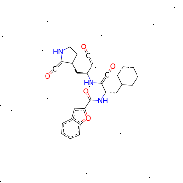 O=C=C[C@H](C[C@@H]1CCNC1=C=O)NC(=C=O)[C@H](CC1CCCCC1)NC(=O)c1cc2ccccc2o1